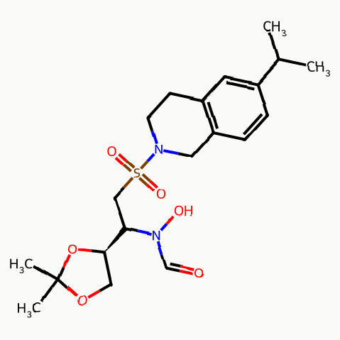 CC(C)c1ccc2c(c1)CCN(S(=O)(=O)CC([C@H]1COC(C)(C)O1)N(O)C=O)C2